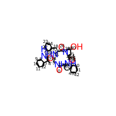 O=C1N[C@H](Cc2c[nH]c3ccccc23)C(=O)N[C@@H](Cc2ccccc2)C(=O)N2C[C@@H](O)C[C@@H]2C(=O)N[C@H]1Cc1ccccc1